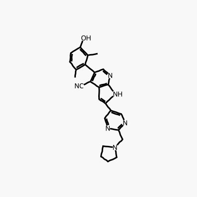 Cc1ccc(O)c(C)c1-c1cnc2[nH]c(-c3cnc(CN4CCCC4)nc3)cc2c1C#N